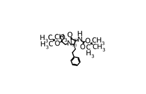 CC(C)(C)OC(=O)CN1C(=O)[C@@H](NC(=O)OC(C)(C)C)[C@H]1CCc1ccccc1